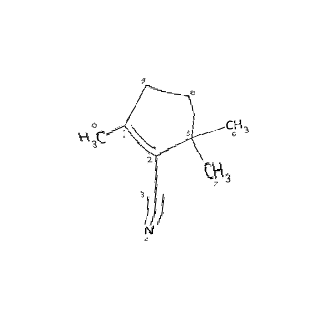 CC1=C(C#N)C(C)(C)CC1